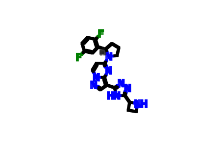 Fc1ccc(F)c([C@H]2CCCN2c2ccn3ncc(-c4nnc(C5CCN5)[nH]4)c3n2)c1